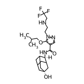 CC(C)COc1c(C(=O)N[C@H]2C3CC4CC2C[C@](O)(C4)C3)cnn1CCNCC(F)(F)F